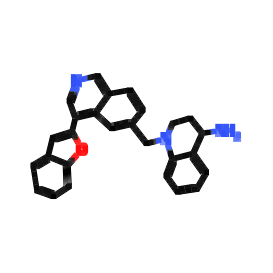 NC1CCN(Cc2ccc3cncc(-c4cc5ccccc5o4)c3c2)c2ccccc21